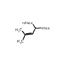 CCCCCCC(C=C(C)C)CCCCCC